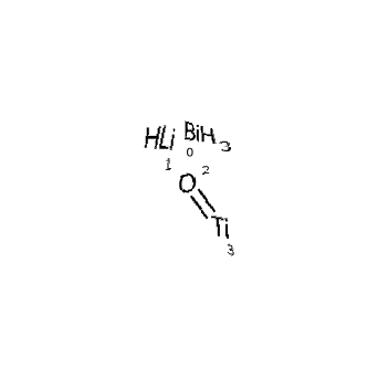 [BiH3].[LiH].[O]=[Ti]